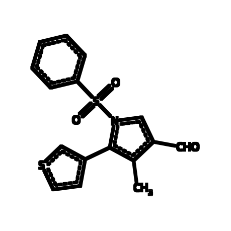 Cc1c(C=O)cn(S(=O)(=O)c2ccccc2)c1-c1ccsc1